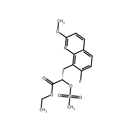 CCOC(=O)[C@H](Cc1c(F)ccc2ccc(OC)nc12)OS(C)(=O)=O